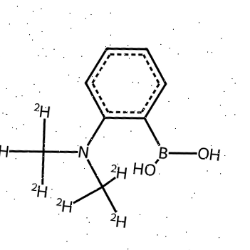 [2H]C([2H])([2H])N(c1ccccc1B(O)O)C([2H])([2H])[2H]